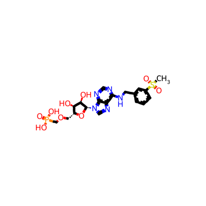 CS(=O)(=O)c1cccc(CNc2ncnc3c2ncn3[C@@H]2O[C@H](COCP(=O)(O)O)[C@@H](O)[C@H]2O)c1